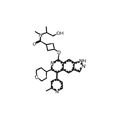 Cc1cc(-c2c(C3CCOCC3)nc(OC3CC(C(=O)N(C)C(C)CO)C3)c3cc4[nH]ncc4cc23)ccn1